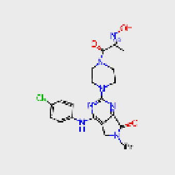 C/C(=N\O)C(=O)N1CCN(c2nc(Nc3ccc(Cl)cc3)c3c(n2)C(=O)N(C(C)C)C3)CC1